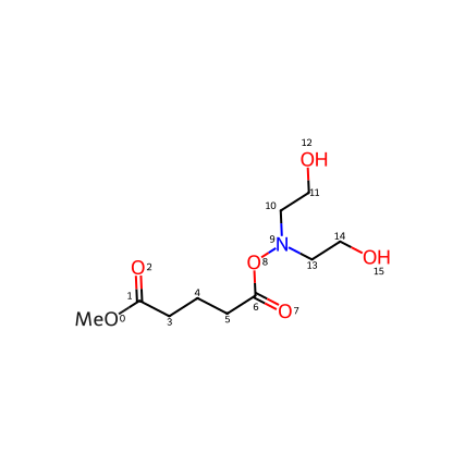 COC(=O)CCCC(=O)ON(CCO)CCO